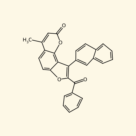 Cc1cc(=O)oc2c1ccc1oc(C(=O)c3ccccc3)c(-c3ccc4ccccc4c3)c12